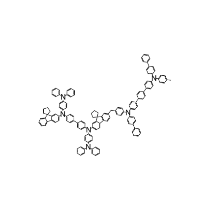 Cc1ccc(N(c2ccc(-c3ccccc3)cc2)c2ccc(-c3ccc(-c4ccc(N(c5ccc(Cc6ccc7c(c6)C6(CCCC6)c6cc(N(c8ccc(-c9ccc(N(c%10ccc(N(c%11ccccc%11)c%11ccccc%11)cc%10)c%10ccc%11c(c%10)C%10(CCCC%10)c%10ccccc%10-%11)cc9)cc8)c8ccc(N(c9ccccc9)c9ccccc9)cc8)ccc6-7)cc5)c5ccc(-c6ccccc6)cc5)cc4)cc3)cc2)cc1